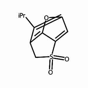 CC(C)c1c2c3oc1cc3S(=O)(=O)C2